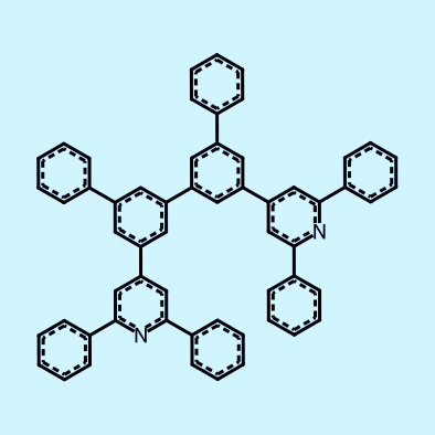 c1ccc(-c2cc(-c3cc(-c4ccccc4)cc(-c4cc(-c5ccccc5)nc(-c5ccccc5)c4)c3)cc(-c3cc(-c4ccccc4)nc(-c4ccccc4)c3)c2)cc1